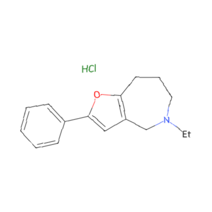 CCN1CCCc2oc(-c3ccccc3)cc2C1.Cl